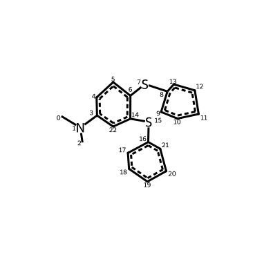 CN(C)c1ccc(Sc2ccccc2)c(Sc2ccccc2)c1